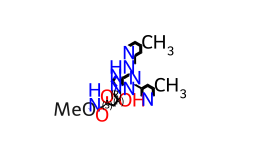 CONC(=O)[C@@H]1C[C@@H](O)[C@H](n2cnc3c(NCc4cc(C)ccn4)nc(-c4cncc(C)c4)nc32)O1